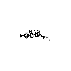 CCCCn1ccc(N2CCN(c3ncc(C4CC4)cn3)CC2)c(N)c1=O